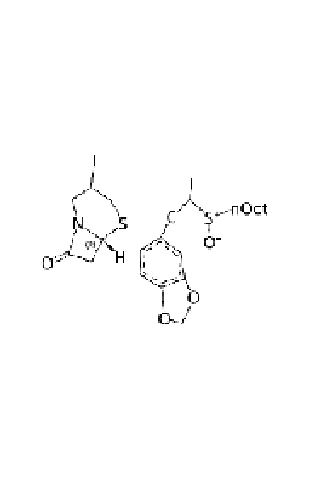 CCCCCCCC[S+]([O-])C(C)Cc1ccc2c(c1)OCO2.O=C1C[C@H]2SCC(I)CN12